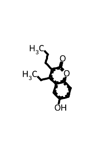 CCCc1c(CC)c2cc(O)ccc2oc1=O